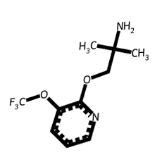 CC(C)(N)COc1ncccc1OC(F)(F)F